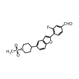 CS(=O)(=O)N1CCC(c2ccc3oc(-c4ccc(C=O)cc4F)cc3c2)CC1